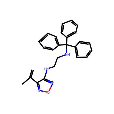 C=C(C)c1nonc1NCCNC(c1ccccc1)(c1ccccc1)c1ccccc1